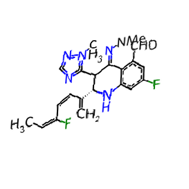 C=C(/C=C\C(F)=C/C)[C@H]1Nc2cc(F)cc(C=O)c2/C(=N\NC)C1c1ncnn1C